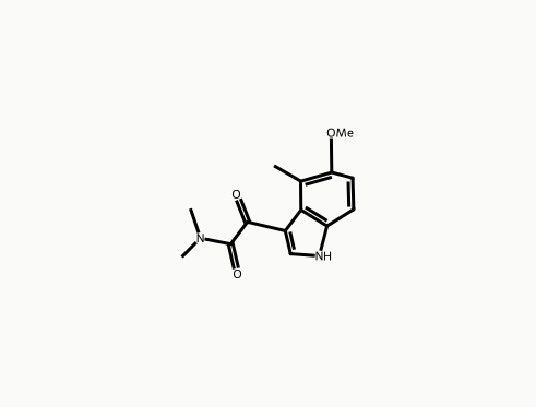 COc1ccc2[nH]cc(C(=O)C(=O)N(C)C)c2c1C